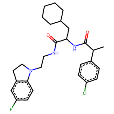 CC(C(=O)NC(CC1CCCCC1)C(=O)NCCN1CCc2cc(F)ccc21)c1ccc(Cl)cc1